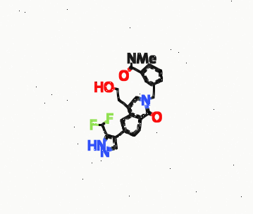 CNC(=O)c1cccc(Cn2cc(CCO)c3cc(-c4cn[nH]c4C(F)F)ccc3c2=O)c1